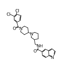 O=C(NCC1CCCN(C2CCN(C(=O)c3ccc(Cl)c(Cl)c3)CC2)C1)c1ccc2ncccc2c1